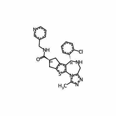 Cc1nnc2n1-c1sc3c(c1[C@H](c1ccccc1Cl)NC2)C[C@H](C(=O)NCc1cccnc1)C3